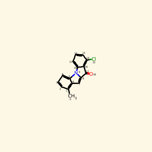 Cc1cccc2c1cc1n2-c2cccc(Cl)c2C1=O